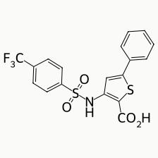 O=C(O)c1sc(-c2ccccc2)cc1NS(=O)(=O)c1ccc(C(F)(F)F)cc1